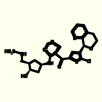 O=C(c1cc([C@@H]2OCCc3cccnc32)c(Cl)s1)c1cncnc1N[C@H]1C[C@H](O)[C@@H]([CH]NS(=O)(=O)O)C1